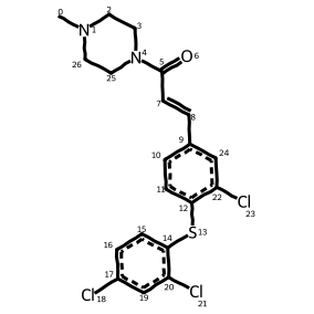 CN1CCN(C(=O)C=Cc2ccc(Sc3ccc(Cl)cc3Cl)c(Cl)c2)CC1